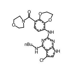 CCCCNc1nc(Nc2ccc(C(=O)N3CCOCC3)c3c2OCCO3)nc2[nH]cc(Cl)c12